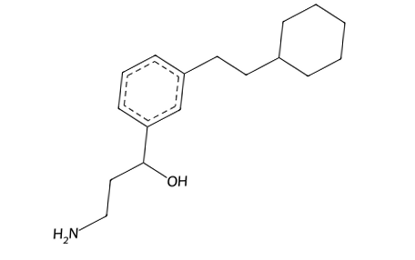 NCCC(O)c1cccc(CCC2CCCCC2)c1